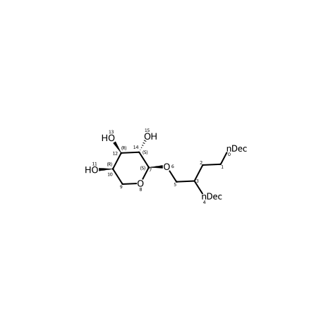 CCCCCCCCCCCCC(CCCCCCCCCC)CO[C@H]1OC[C@@H](O)[C@@H](O)[C@@H]1O